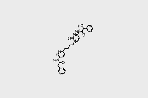 O=C(Cc1ccccc1)Nc1ccc(CCCCn2ccc(NC(=O)C(O)c3ccccc3)nc2=O)nn1